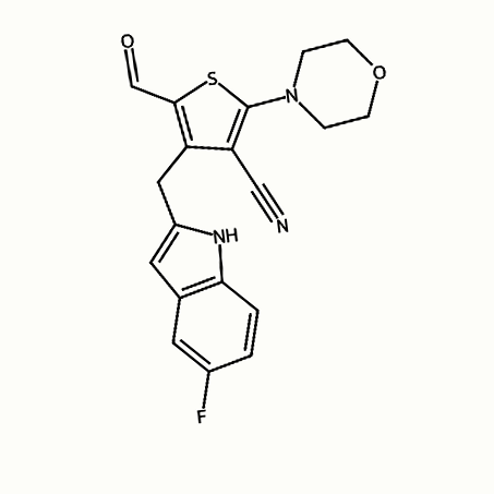 N#Cc1c(N2CCOCC2)sc(C=O)c1Cc1cc2cc(F)ccc2[nH]1